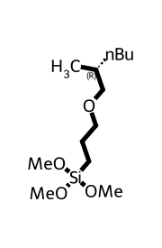 CCCC[C@@H](C)COCCC[Si](OC)(OC)OC